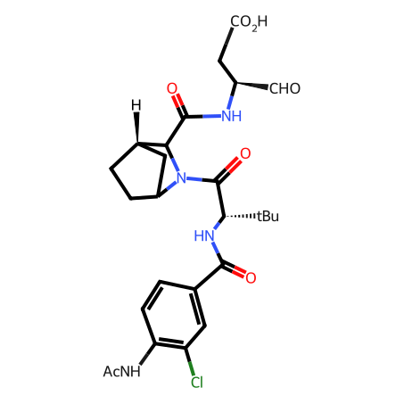 CC(=O)Nc1ccc(C(=O)N[C@H](C(=O)N2C3CC[C@@H](C3)C2C(=O)N[C@H](C=O)CC(=O)O)C(C)(C)C)cc1Cl